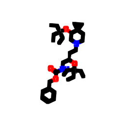 CC[Si](CC)(CC)O[C@H](CCN1CCC2(CC2)[C@H](O[Si](CC)(CC)CC)C1)CNC(=O)OCc1ccccc1